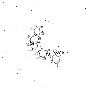 COc1ccccc1N1CCN(CC2CCN(Cc3ccccc3)CC2)CC1